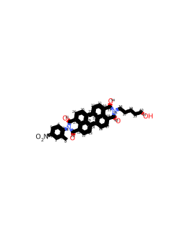 Cc1cc([N+](=O)[O-])ccc1N1C(=O)c2ccc3c4ccc5c6c(ccc(c7ccc(c2c37)C1=O)c64)C(=O)N(CCCCCO)C5=O